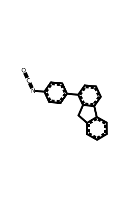 O=C=Nc1ccc(-c2cccc3c2Cc2ccccc2-3)cc1